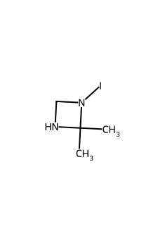 CC1(C)NCN1I